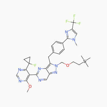 COc1ncnc(C2(F)CC2)c1-c1ncc2nn(COCC[Si](C)(C)C)c(Cc3ccc(-c4nc(C(F)(F)F)cn4C)cc3)c2n1